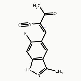 [C-]#[N+]/C(=C\c1cc2c(C)n[nH]c2cc1F)C(C)=O